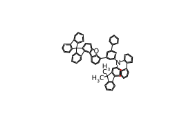 CC1(C)c2ccccc2-c2ccc(N(c3cc(-c4ccccc4)cc(-c4cccc5c4oc4ccc6c(c45)-c4ccccc4C64c5ccccc5-c5ccccc54)c3)c3ccccc3-c3ccccc3)cc21